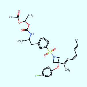 CC/C=C/C=C\C=C(/C)C1(Oc2ccc(F)cc2)CN(S(=O)(=O)c2cccc(CC(NC(=O)OC(C)OC(=O)C(C)C)C(=O)O)c2)C1